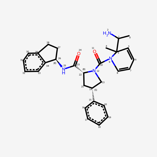 CC(N)C1(C)C=CC=CN1C(=O)N1C[C@H](c2ccccc2)C[C@@H]1C(=O)N[C@@H]1CCc2ccccc21